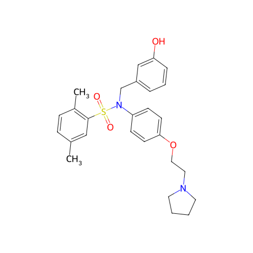 Cc1ccc(C)c(S(=O)(=O)N(Cc2cccc(O)c2)c2ccc(OCCN3CCCC3)cc2)c1